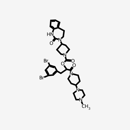 CN1CCN(C2CCN(C(=O)C(Cc3cc(Br)cc(Br)c3)OC(=O)N3CCC(N4CCc5ccccc5NC4=O)CC3)CC2)CC1